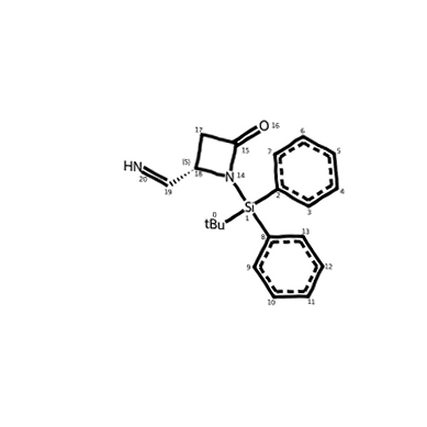 CC(C)(C)[Si](c1ccccc1)(c1ccccc1)N1C(=O)C[C@H]1C=N